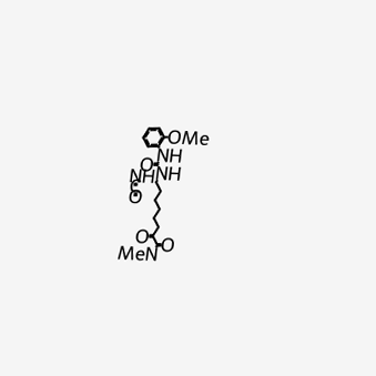 CNC(=O)C(=O)CCCCCCNC(=O)Nc1ccccc1OC.N=C=O